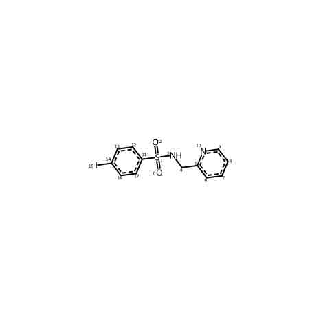 O=S(=O)(NCc1ccccn1)c1ccc(I)cc1